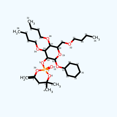 C=C1CC(C)(C)OP(=O)(OC2C(OC3CCCCC3)OC(COCCCC)C(OCCCC)C2OCCCC)O1